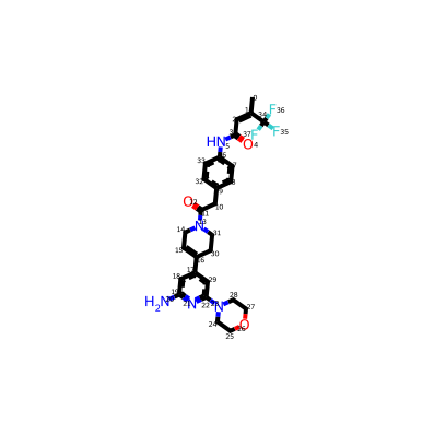 C/C(=C/C(=O)Nc1ccc(CC(=O)N2CC=C(c3cc(N)nc(N4CCOCC4)c3)CC2)cc1)C(F)(F)F